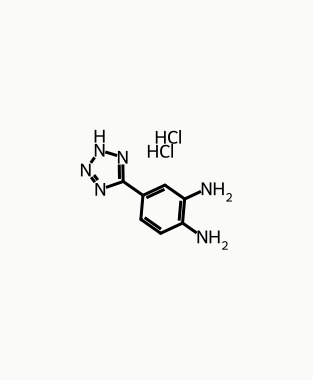 Cl.Cl.Nc1ccc(-c2nn[nH]n2)cc1N